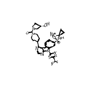 N#CC1(NS(=O)(=O)c2ccc3c4c(C5CCN(C(=O)N6CC[C@H](O)C6)CC5)ncnc4n(-c4nnc(C(F)F)s4)c3c2)CC1